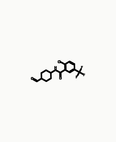 O=CC1CCC(NC(=O)c2cc(C(F)(F)F)ccc2Cl)CC1